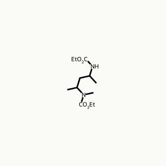 CCOC(=O)NC(C)CC(C)N(C)C(=O)OCC